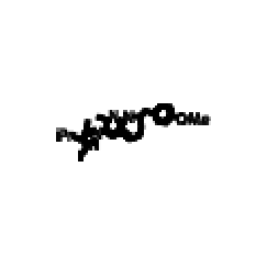 COc1ccc(CC2CCC=c3cc(-n4nc(I)c(C(C)C)c4C)c(C)nc3=N2)cc1